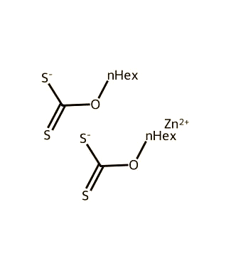 CCCCCCOC(=S)[S-].CCCCCCOC(=S)[S-].[Zn+2]